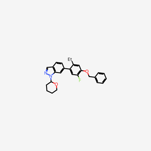 CCc1cc(OCc2ccccc2)c(F)cc1-c1ccc2cnn(C3CCCCO3)c2c1